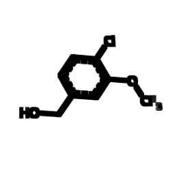 OCc1ccc(Cl)c(OC(F)(F)F)c1